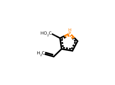 C=Cc1cc[pH]c1C(=O)O